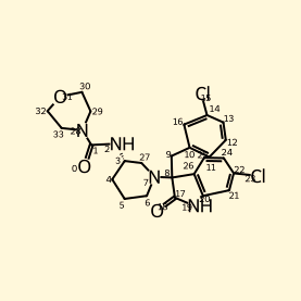 O=C(N[C@H]1CCCN(C2(Cc3cccc(Cl)c3)C(=O)Nc3cc(Cl)ccc32)C1)N1CCOCC1